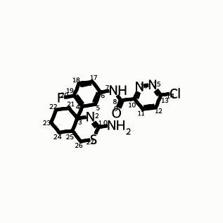 NC1=NC2(c3cc(NC(=O)c4ccc(Cl)nn4)ccc3F)CCCCC2CS1